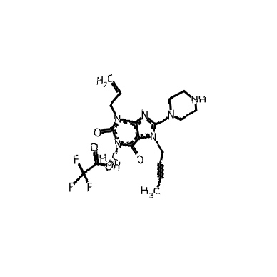 C=CCn1c(=O)n(C)c(=O)c2c1nc(N1CCNCC1)n2CC#CC.O=C(O)C(F)(F)F